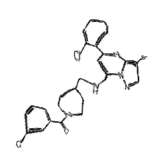 O=C(c1cccc(Cl)c1)N1CCC(CNc2cc(-c3ccccc3Cl)nc3c(Br)cnn23)CC1